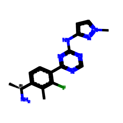 Cc1c([C@@H](C)N)ccc(-c2ncnc(Nc3ccn(C)n3)n2)c1F